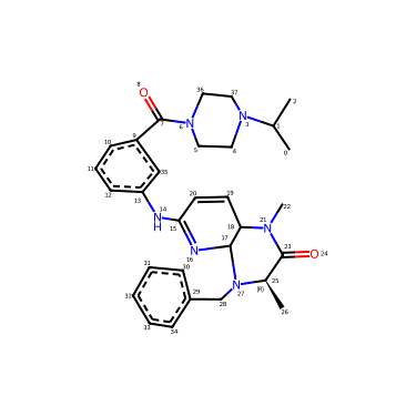 CC(C)N1CCN(C(=O)c2cccc(NC3=NC4C(C=C3)N(C)C(=O)[C@@H](C)N4Cc3ccccc3)c2)CC1